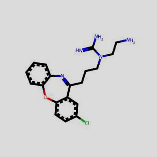 N=C(N)N(CCN)CCCC1=Nc2ccccc2Oc2ccc(Cl)cc21